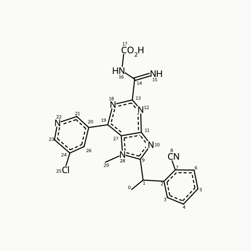 CC(c1ccccc1C#N)c1nc2nc(C(=N)NC(=O)O)nc(-c3cncc(Cl)c3)c2n1C